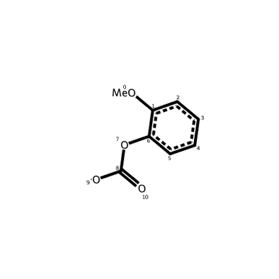 COc1ccccc1OC([O])=O